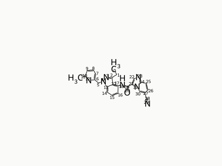 CCc1nn(Cc2cccc(C)n2)c2cccc(NC(=O)c3cnc4ccc(C#N)cn34)c12